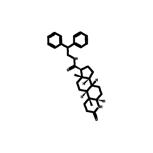 C[C@]12CCC(=O)N[C@@H]1CC[C@@H]1[C@@H]2CC[C@]2(C)[C@@H](C(=O)NCC(c3ccccc3)c3ccccc3)CC[C@@H]12